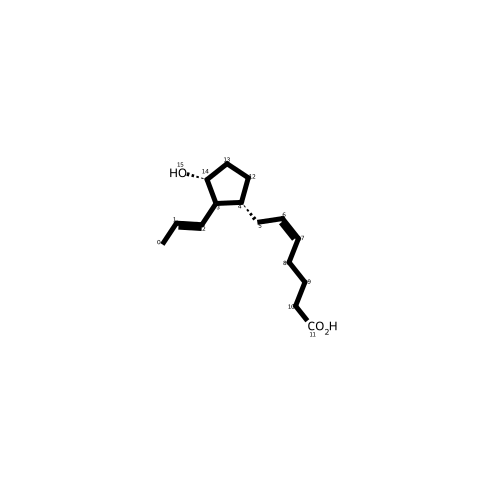 C/C=C/C1[C@@H](C/C=C\CCCC(=O)O)CC[C@H]1O